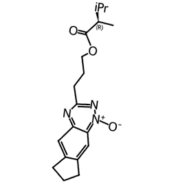 CC(C)[C@@H](C)C(=O)OCCCc1nc2cc3c(cc2[n+]([O-])n1)CCC3